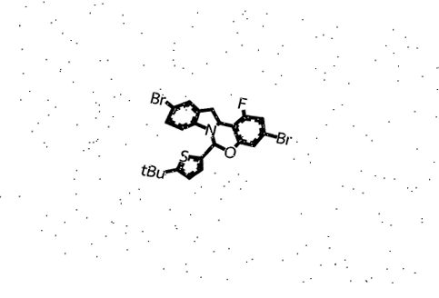 CC(C)(C)c1ccc(C2Oc3cc(Br)cc(F)c3C3Cc4cc(Br)ccc4N32)s1